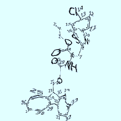 C=CCOC(=O)[C@H](Cc1nc2ccc(Cl)cc2s1)NC(=O)OCC1c2ccccc2-c2ccccc21